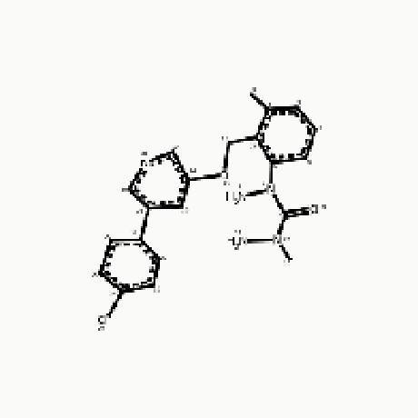 Cc1cccc(N(N)C(=O)N(C)N)c1COc1cncc(-c2ccc(Cl)cc2)c1